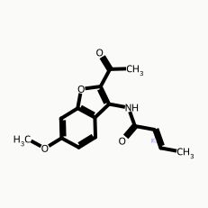 C/C=C/C(=O)Nc1c(C(C)=O)oc2cc(OC)ccc12